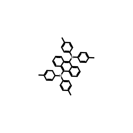 CC1=CCC(N(c2ccc(C)cc2)c2c3ccccc3c(N(c3ccc(C)cc3)c3ccc(C)cc3)c3ccccc23)C=C1